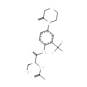 CC(=O)N[C@@H](CN)C(=O)Nc1ccc(N2CCOCC2=O)cc1C(F)(F)F